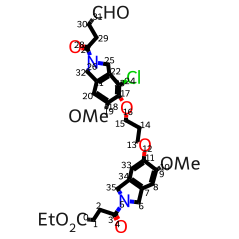 CCOC(=O)CCC(=O)N1Cc2cc(OC)c(OCCCOc3c(OC)cc4c(c3Cl)CN(C(=O)CCC=O)C4)cc2C1